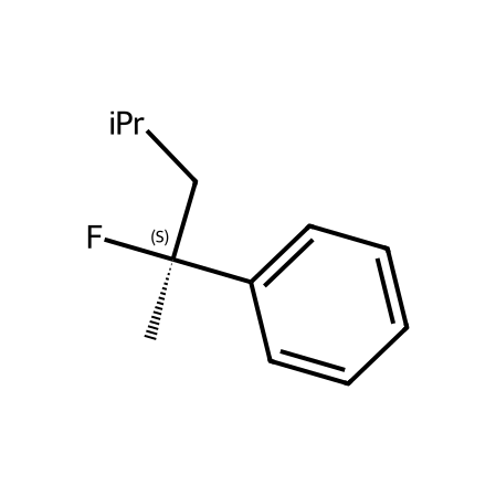 CC(C)C[C@](C)(F)c1ccccc1